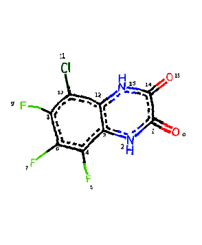 O=c1[nH]c2c(F)c(F)c(F)c(Cl)c2[nH]c1=O